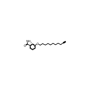 C#CCCCCCCCCCOc1cccc(C(N)=O)c1